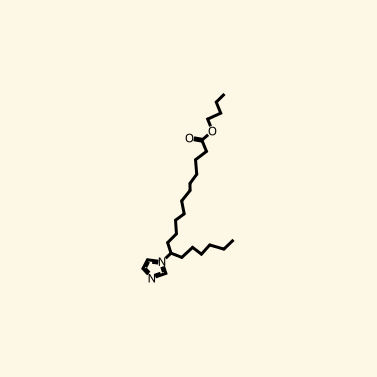 CCCCCCC(CCCCCCCCCCC(=O)OCCCC)n1ccnc1